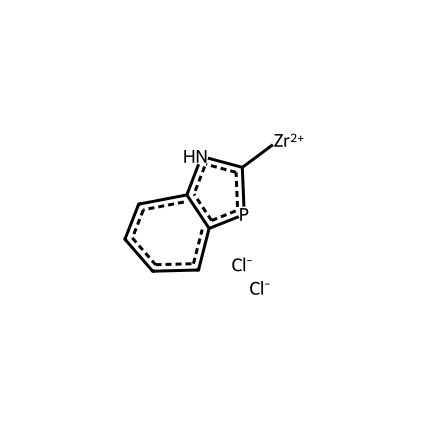 [Cl-].[Cl-].[Zr+2][c]1[nH]c2ccccc2p1